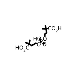 CC(C)(CCOP(=O)(O)OCCC(C)(C)C(=O)O)C(=O)O